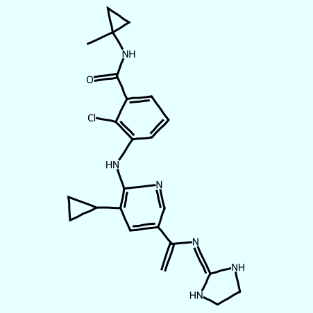 C=C(N=C1NCCN1)c1cnc(Nc2cccc(C(=O)NC3(C)CC3)c2Cl)c(C2CC2)c1